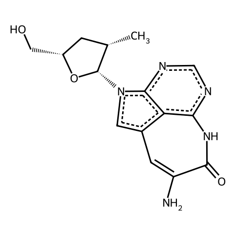 C[C@H]1C[C@@H](CO)O[C@H]1n1cc2c3c(ncnc31)NC(=O)C(N)=C2